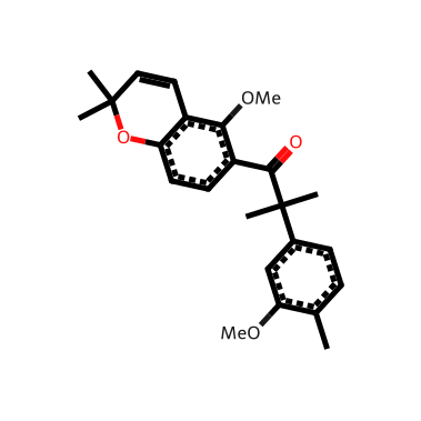 COc1cc(C(C)(C)C(=O)c2ccc3c(c2OC)C=CC(C)(C)O3)ccc1C